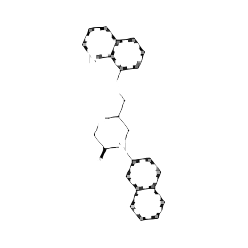 O=C1COC(COc2cccc3cccnc23)CN1c1ccc2ccccc2c1